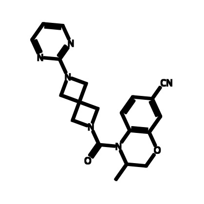 CC1COc2cc(C#N)ccc2N1C(=O)N1CC2(C1)CN(c1ncccn1)C2